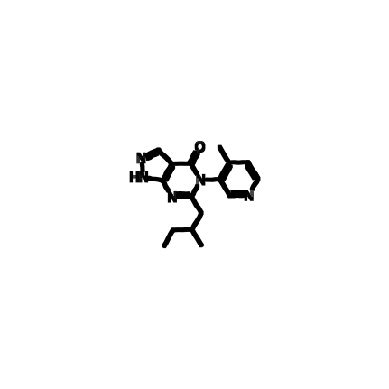 CCC(C)Cc1nc2[nH]ncc2c(=O)n1-c1cnccc1C